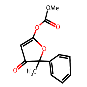 COC(=O)OC1=CC(=O)C(C)(c2ccccc2)O1